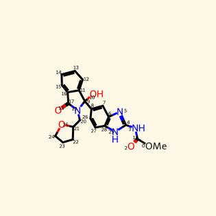 COC(=O)Nc1nc2cc(C3(O)c4ccccc4C(=O)N3CC3CCCO3)ccc2[nH]1